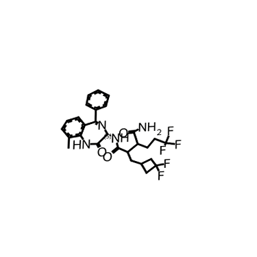 Cc1cccc2c1NC(=O)[C@@H](NC(=O)C(CC1CC(F)(F)C1)C(CCC(F)(F)F)C(N)=O)N=C2c1ccccc1